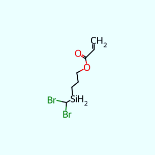 C=CC(=O)OCCC[SiH2]C(Br)Br